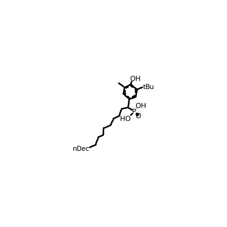 CCCCCCCCCCCCCCCCCCC(c1cc(C)c(O)c(C(C)(C)C)c1)P(=O)(O)O